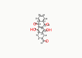 CC(=O)C1CCc2c(O)c3c(c(O)c2C1)C(=O)c1ccccc1C3=O